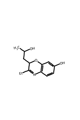 CCC1=Nc2ccc(O)cc2OC1CC(C)O